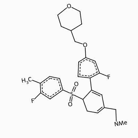 CNCC1=CCC(S(=O)(=O)c2ccc(C)c(F)c2)C(c2ccc(OCC3CCOCC3)cc2F)=C1